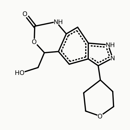 O=C1Nc2cc3[nH]nc(C4CCOCC4)c3cc2C(CO)O1